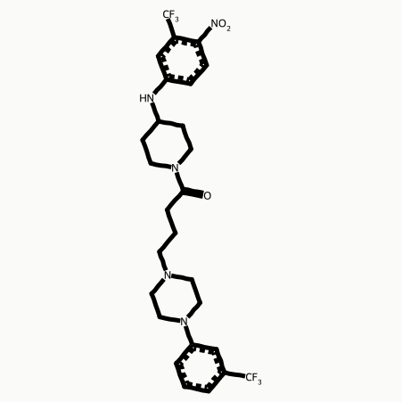 O=C(CCCN1CCN(c2cccc(C(F)(F)F)c2)CC1)N1CCC(Nc2ccc([N+](=O)[O-])c(C(F)(F)F)c2)CC1